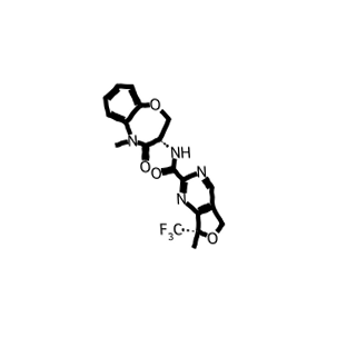 CN1C(=O)[C@@H](NC(=O)c2ncc3c(n2)[C@@](C)(C(F)(F)F)OC3)COc2ccccc21